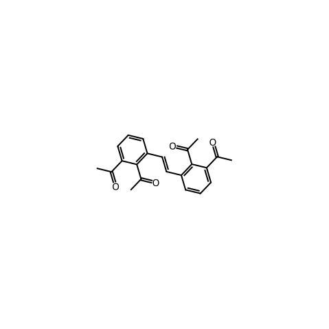 CC(=O)c1cccc(/C=C/c2cccc(C(C)=O)c2C(C)=O)c1C(C)=O